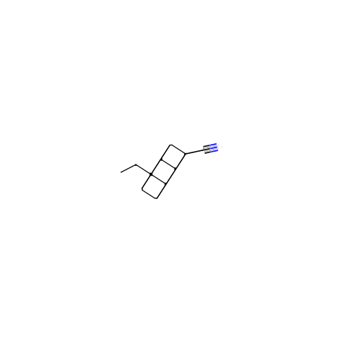 CCC12C3C4C1C1C2C3C41C#N